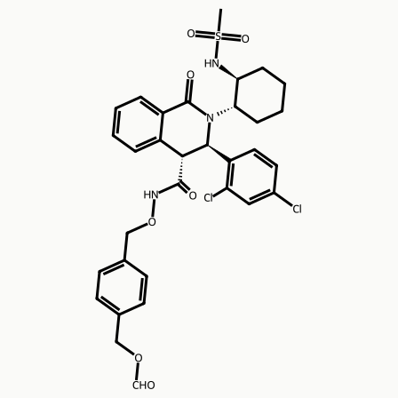 CS(=O)(=O)N[C@H]1CCCC[C@@H]1N1C(=O)c2ccccc2[C@@H](C(=O)NOCc2ccc(COC=O)cc2)[C@@H]1c1ccc(Cl)cc1Cl